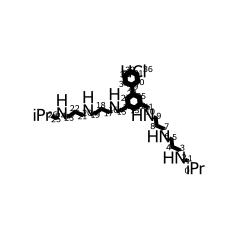 CC(C)CNCCCNCCCNCc1cc(CNCCCNCCCNCC(C)C)cc(-c2ccccc2)c1.Cl